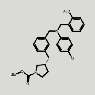 CC(=O)Oc1ccccc1CN(Cc1cccc(C[C@@H]2CCN(C(=O)OC(C)(C)C)C2)c1)c1ccc(Cl)cc1